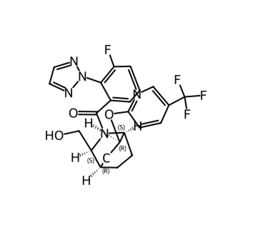 O=C(c1cccc(F)c1-n1nccn1)N1[C@H](CO)[C@@H]2CC[C@H]1[C@H](Oc1ccc(C(F)(F)F)cn1)C2